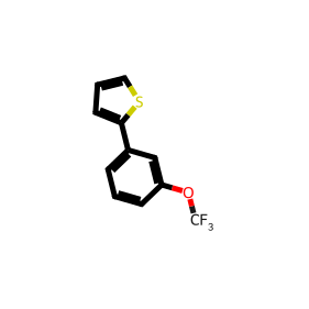 FC(F)(F)Oc1cccc(-c2cccs2)c1